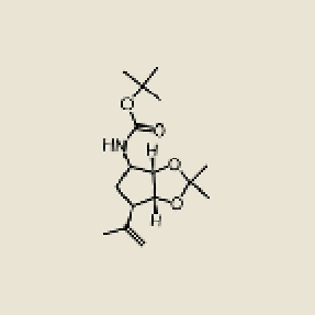 C=C(C)[C@H]1CC(NC(=O)OC(C)(C)C)[C@@H]2OC(C)(C)O[C@H]12